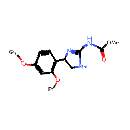 COC(=O)NC1=NC(c2ccc(OC(C)C)cc2OC(C)C)CN1